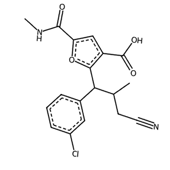 CNC(=O)c1cc(C(=O)O)c(C(c2cccc(Cl)c2)C(C)CC#N)o1